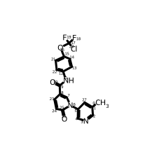 Cc1cncc(-n2cc(C(=O)Nc3ccc(OC(F)(F)Cl)cc3)ccc2=O)c1